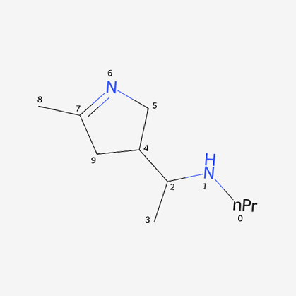 CCCNC(C)C1CN=C(C)C1